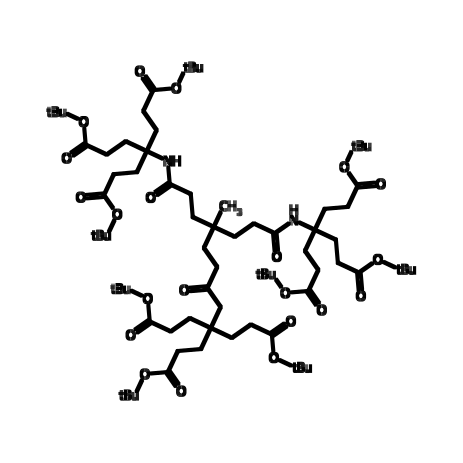 CC(CCC(=O)CC(CCC(=O)OC(C)(C)C)(CCC(=O)OC(C)(C)C)CCC(=O)OC(C)(C)C)(CCC(=O)NC(CCC(=O)OC(C)(C)C)(CCC(=O)OC(C)(C)C)CCC(=O)OC(C)(C)C)CCC(=O)NC(CCC(=O)OC(C)(C)C)(CCC(=O)OC(C)(C)C)CCC(=O)OC(C)(C)C